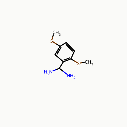 CSc1ccc(SC)c(C(N)N)c1